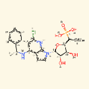 COC([C@@H]1O[C@@H](n2ccc3c(N[C@H](C)c4ccccc4)cc(Cl)nc32)[C@H](O)[C@@H]1O)P(=O)(O)O